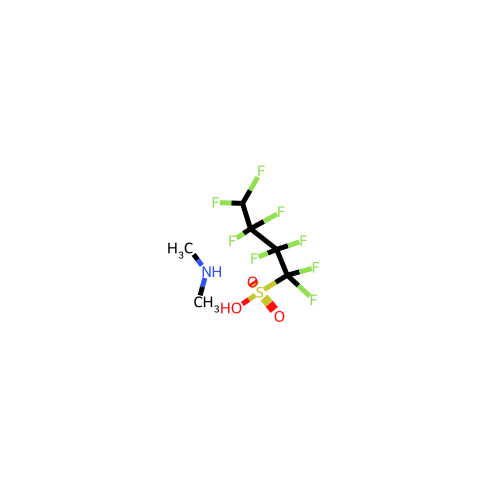 CNC.O=S(=O)(O)C(F)(F)C(F)(F)C(F)(F)C(F)F